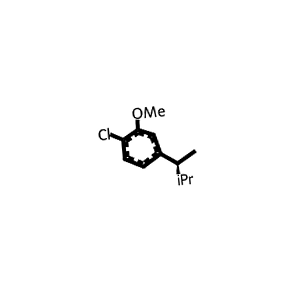 COc1cc([C@@H](C)C(C)C)ccc1Cl